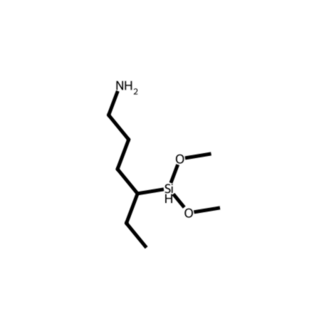 CCC(CCCN)[SiH](OC)OC